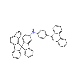 c1ccc2c(c1)-c1cc(Nc3ccc(-c4cc5ccccc5c5ccccc45)cc3)ccc1C21c2ccccc2-c2ccc3ccccc3c21